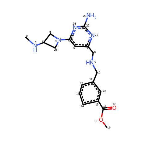 CNC1CN(c2cc(CNCc3cccc(C(=O)OC)c3)nc(N)n2)C1